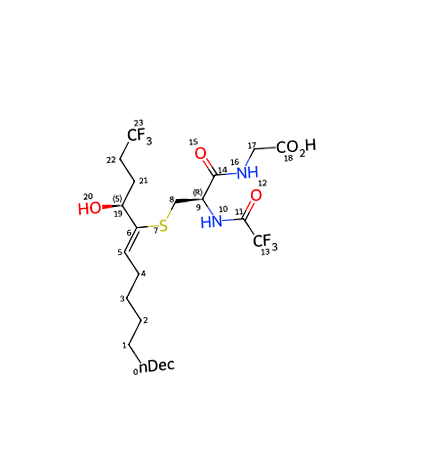 CCCCCCCCCCCCCCC=C(SC[C@H](NC(=O)C(F)(F)F)C(=O)NCC(=O)O)[C@@H](O)CCC(F)(F)F